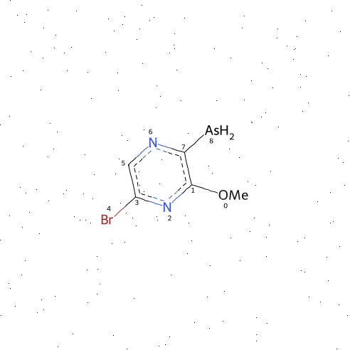 COc1nc(Br)cnc1[AsH2]